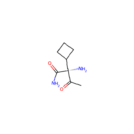 CC(=O)[C@@](N)(C(N)=O)C1CCC1